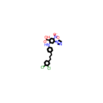 O=C(O)c1cc([N+](=O)[O-])c(-n2ccnc2)cc1Nc1ccc(CCCc2ccc(Cl)c(Cl)c2)cc1